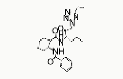 CCc1nnn(CC(=O)[C@H](CC(C)C)NC(=O)[C@@H]2CCCC[C@@H]2NC(=O)c2ccccc2)n1